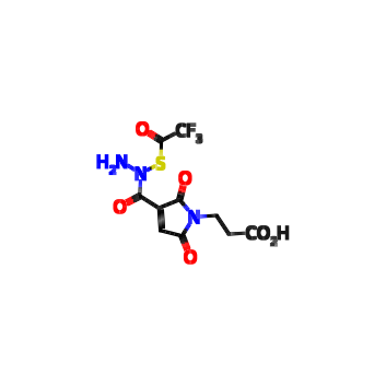 NN(SC(=O)C(F)(F)F)C(=O)C1=CC(=O)N(CCC(=O)O)C1=O